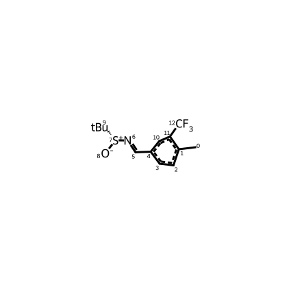 Cc1ccc(/C=N/[S@+]([O-])C(C)(C)C)cc1C(F)(F)F